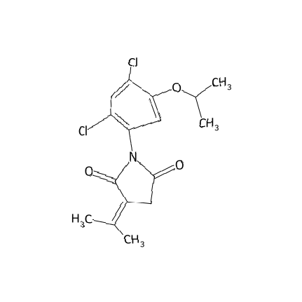 CC(C)=C1CC(=O)N(c2cc(OC(C)C)c(Cl)cc2Cl)C1=O